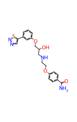 NC(=O)c1ccc(OCCNCC(O)COc2cccc(-c3cnns3)c2)cc1